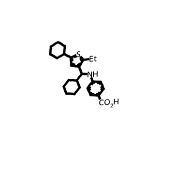 CCc1sc(C2CCCCC2)cc1C(Nc1ccc(C(=O)O)cc1)C1CCCCC1